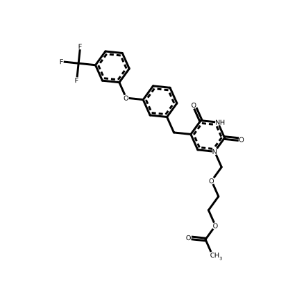 CC(=O)OCCOCn1cc(Cc2cccc(Oc3cccc(C(F)(F)F)c3)c2)c(=O)[nH]c1=O